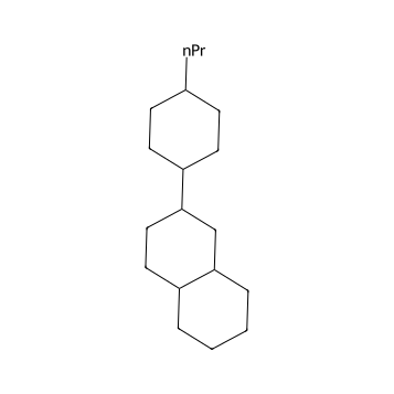 CCCC1CCC(C2CCC3CCCCC3C2)CC1